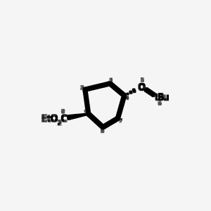 CCOC(=O)[C@H]1CC[C@H](OC(C)(C)C)CC1